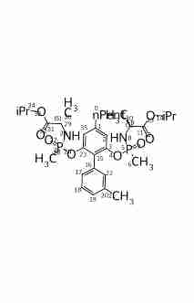 CCCCCc1cc(OP(C)(=O)N[C@@H](C)C(=O)OC(C)C)c(-c2cccc(C)c2)c(OP(C)(=O)N[C@@H](C)C(=O)OC(C)C)c1